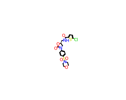 O=C(NC[C@H]1CN(c2ccc(S(=O)(=O)N3CCOCC3)cc2)C(=O)O1)c1ccc(Cl)s1